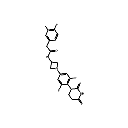 O=C1CCC(c2c(F)cc(N3CC(NC(=O)Cc4ccc(Cl)c(F)c4)C3)cc2F)C(=O)N1